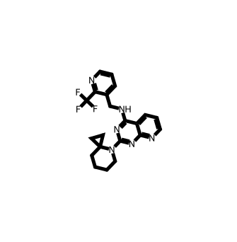 FC(F)(F)c1ncccc1CNc1nc(N2CCCCC23CC3)nc2ncccc12